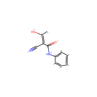 C/C(O)=C(/C#N)C(=O)Nc1c[c]ccc1